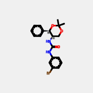 CC1(C)OC[C@H](NC(=O)Nc2cccc(Br)c2)[C@H](c2ccccc2)O1